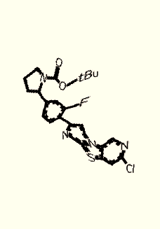 CC(C)(C)OC(=O)N1CCCC1c1ccc(-c2cn3c(n2)sc2cc(Cl)ncc23)c(F)c1